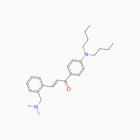 CCCCN(CCCC)c1ccc(C(=O)C=Cc2ccccc2CN(C)C)cc1